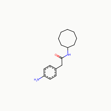 Nc1ccc(CC(=O)NC2CCCCCCC2)cc1